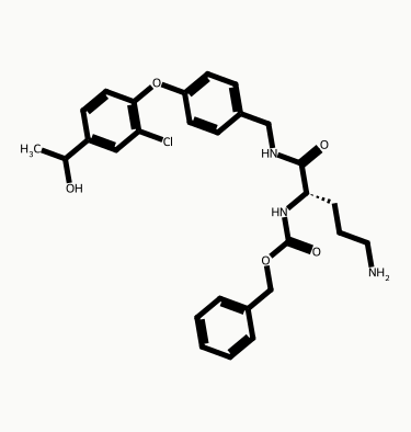 CC(O)c1ccc(Oc2ccc(CNC(=O)[C@H](CCCN)NC(=O)OCc3ccccc3)cc2)c(Cl)c1